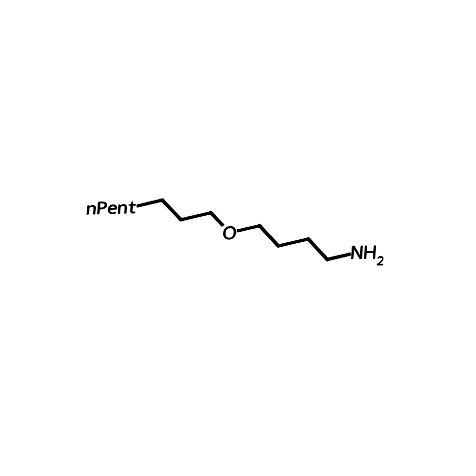 CCCCCCCCOCCCCN